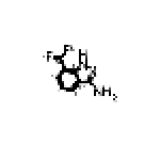 Nc1n[nH]c2c(C(F)F)cccc12